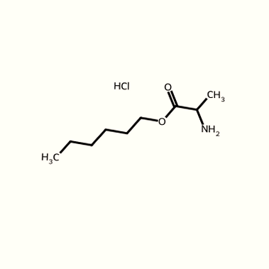 CCCCCCOC(=O)C(C)N.Cl